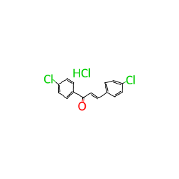 Cl.O=C(C=Cc1ccc(Cl)cc1)c1ccc(Cl)cc1